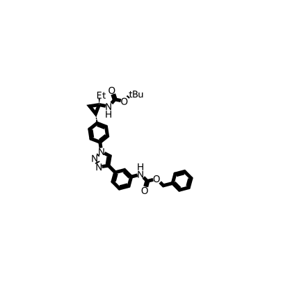 CC[C@@]1(NC(=O)OC(C)(C)C)C[C@H]1c1ccc(-n2cc(-c3cccc(NC(=O)OCc4ccccc4)c3)nn2)cc1